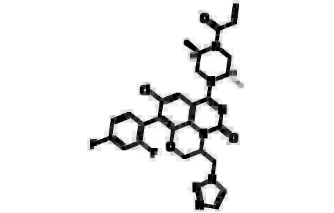 C=CC(=O)N1C[C@H](C)N(c2nc(=O)n3c4c(c(-c5ccc(F)cc5F)c(Cl)cc24)OCC3Cn2ccnn2)C[C@H]1C